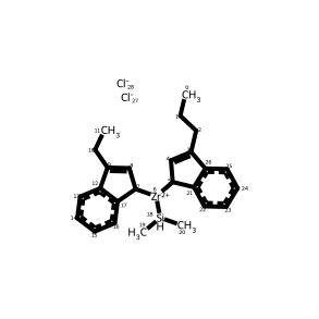 CCCC1=C[CH]([Zr+2]([CH]2C=C(CC)c3ccccc32)[SiH](C)C)c2ccccc21.[Cl-].[Cl-]